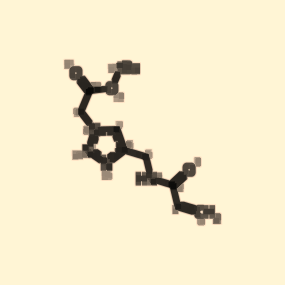 C=CC(=O)NCc1cn(CC(=O)OC(C)(C)C)nn1